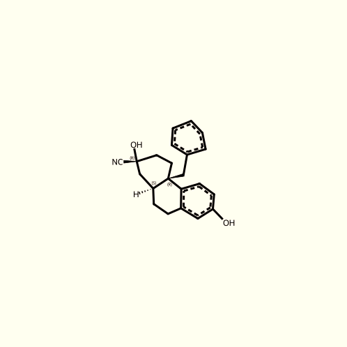 N#C[C@@]1(O)CC[C@]2(Cc3ccccc3)c3ccc(O)cc3CC[C@H]2C1